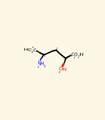 NC(CC(O)C(=O)O)C(=O)O